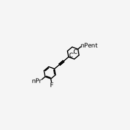 CCCCCC12CCC(C#Cc3ccc(CCC)c(F)c3)(CC1)CC2